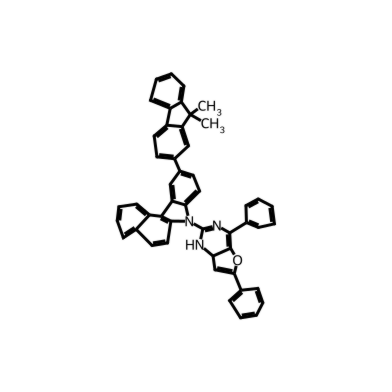 CC1(C)c2ccccc2-c2ccc(-c3ccc4c(c3)c3c5ccccc5ccc3n4C3=NC(c4ccccc4)=C4OC(c5ccccc5)=CC4N3)cc21